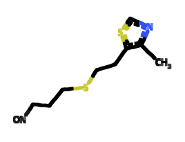 Cc1ncsc1CCSCCCN=O